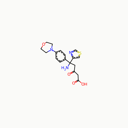 NC(CC(=O)CC(=O)O)(c1ccc(N2CCOCC2)cc1)c1cscn1